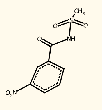 CS(=O)(=O)NC(=O)c1cccc([N+](=O)[O-])c1